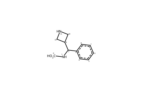 O=C(O)NC(c1ccccc1)C1CNC1